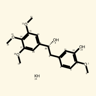 COc1ccc(C[C@@H](O)c2cc(OC)c(OC)c(OC)c2)cc1O.[KH]